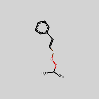 CC(C)OOSC=Cc1ccccc1